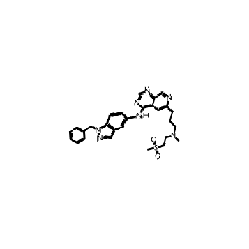 CN(CCCc1cc2c(Nc3ccc4c(cnn4Cc4ccccc4)c3)ncnc2cn1)CCS(C)(=O)=O